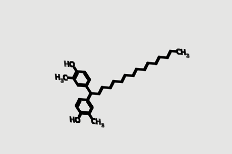 CCCCCCCCCCCCCCCC(c1ccc(O)c(C)c1)c1ccc(O)c(C)c1